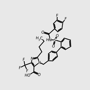 CCCCc1nc(C(F)(F)F)c(C(=O)O)n1Cc1ccc(-c2ccccc2S(=O)(=O)NC(=O)c2ccc(F)c(F)c2)cc1